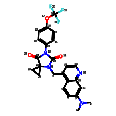 CN(C)c1ccc2c(CN3C(=O)N(c4ccc(OC(F)(F)F)cc4)C(=O)C34CC4)ccnc2c1